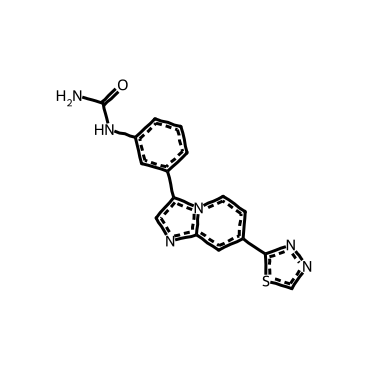 NC(=O)Nc1cccc(-c2cnc3cc(-c4nncs4)ccn23)c1